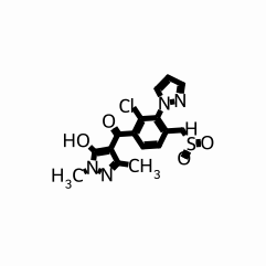 Cc1nn(C)c(O)c1C(=O)c1ccc(C[SH](=O)=O)c(-n2cccn2)c1Cl